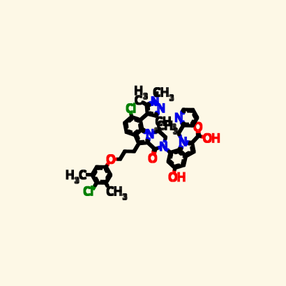 Cc1cc(OCCCc2c3n(c4c(-c5c(C)nn(C)c5C)c(Cl)ccc24)[C@H](C)CN(c2cc(O)cc4cc(C(=O)O)n(Cc5ccccn5)c24)C3=O)cc(C)c1Cl